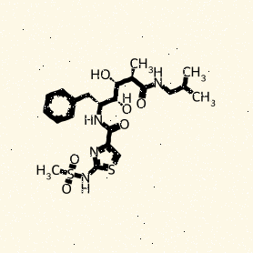 CC(C)CNC(=O)[C@H](C)[C@@H](O)[C@H](O)[C@H](Cc1ccccc1)NC(=O)c1csc(NS(C)(=O)=O)n1